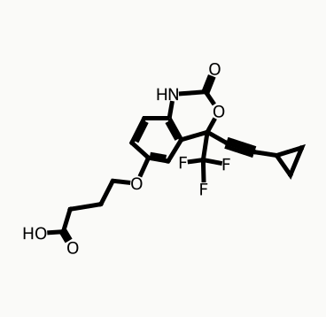 O=C(O)CCCOc1ccc2c(c1)C(C#CC1CC1)(C(F)(F)F)OC(=O)N2